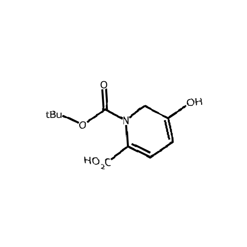 CC(C)(C)OC(=O)N1CC(O)=CC=C1C(=O)O